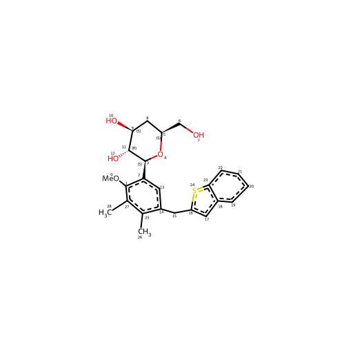 COc1c([C@@H]2O[C@H](CO)C[C@H](O)[C@H]2O)cc(Cc2cc3ccccc3s2)c(C)c1C